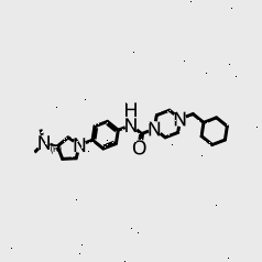 CN(C)[C@@H]1CCN(c2ccc(NC(=O)N3CCN(CC4CCCCC4)CC3)cc2)C1